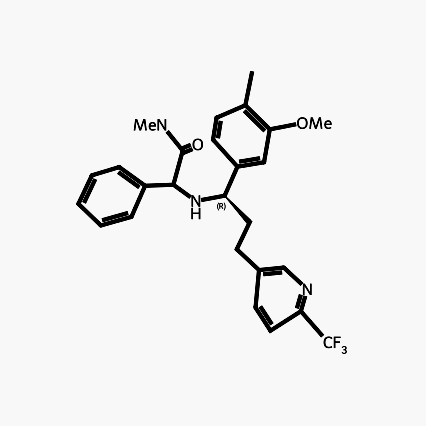 CNC(=O)C(N[C@H](CCc1ccc(C(F)(F)F)nc1)c1ccc(C)c(OC)c1)c1ccccc1